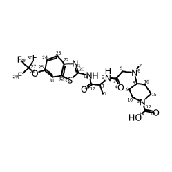 CC(NC(=O)CN(C)C1CCN(C(=O)O)CC1)C(=O)Nc1nc2ccc(OC(F)(F)F)cc2s1